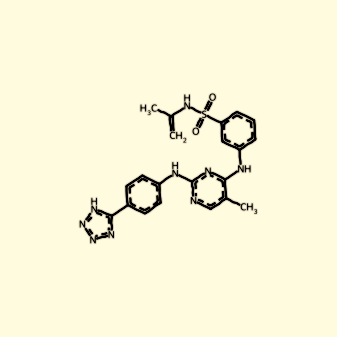 C=C(C)NS(=O)(=O)c1cccc(Nc2nc(Nc3ccc(-c4nnn[nH]4)cc3)ncc2C)c1